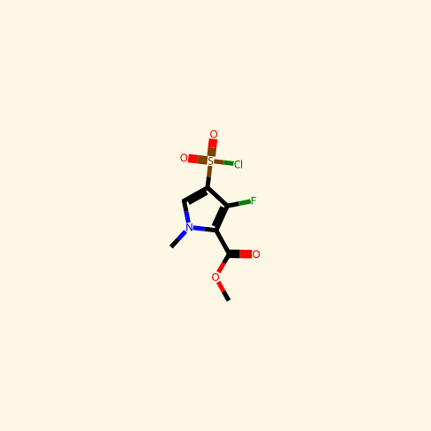 COC(=O)c1c(F)c(S(=O)(=O)Cl)cn1C